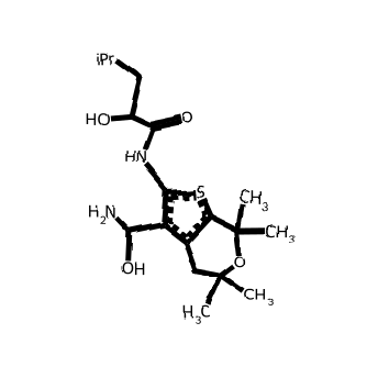 CC(C)CC(O)C(=O)Nc1sc2c(c1C(N)O)CC(C)(C)OC2(C)C